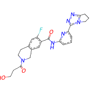 O=C(Nc1cccc(-c2nnc3n2CCC3)n1)c1cc2c(cc1F)CCN(C(=O)CCO)C2